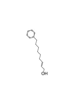 OCC=CCCCCCCc1ccccc1